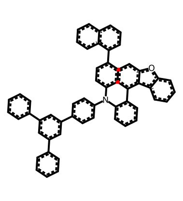 c1ccc(-c2cc(-c3ccccc3)cc(-c3ccc(N(c4ccc(-c5cccc6ccccc56)cc4)c4ccccc4-c4cccc5oc6ccccc6c45)cc3)c2)cc1